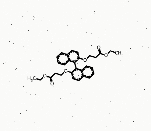 CCOC(=O)CCOc1ccc2ccccc2c1-c1c(OCCC(=O)OCC)ccc2ccccc12